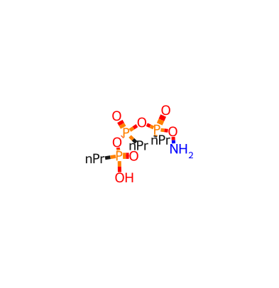 CCCP(=O)(O)OP(=O)(CCC)OP(=O)(CCC)ON